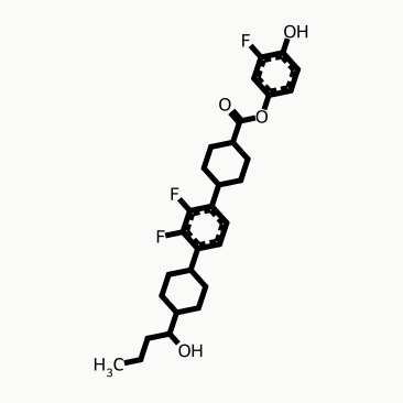 CCCC(O)C1CCC(c2ccc(C3CCC(C(=O)Oc4ccc(O)c(F)c4)CC3)c(F)c2F)CC1